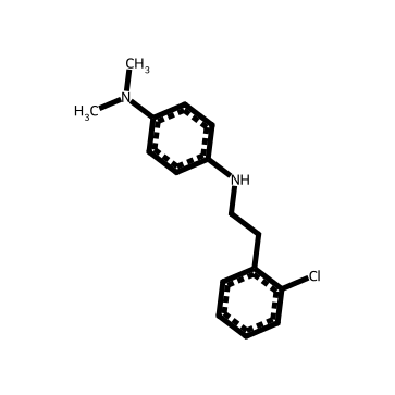 CN(C)c1ccc(NCCc2ccccc2Cl)cc1